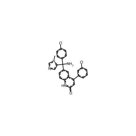 Cn1cncc1C(N)(c1ccc(Cl)cc1)c1ccc2[nH]c(=O)cc(-c3cccc(Cl)c3)c2c1